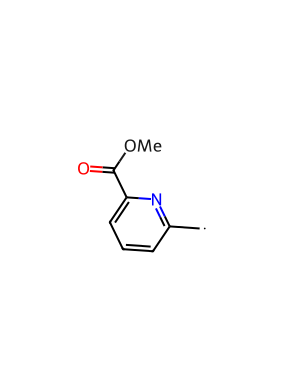 [CH2]c1cccc(C(=O)OC)n1